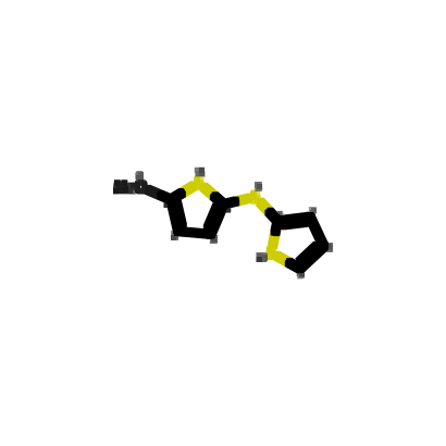 COc1ccc(Sc2cccs2)s1